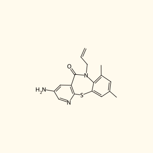 C=CCN1C(=O)c2cc(N)cnc2Sc2cc(C)cc(C)c21